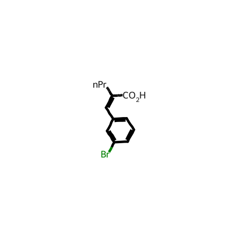 CCCC(=Cc1cccc(Br)c1)C(=O)O